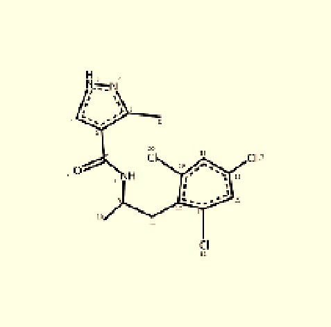 Cc1n[nH]cc1C(=O)NC(C)Cc1c(Cl)cc(Cl)cc1Cl